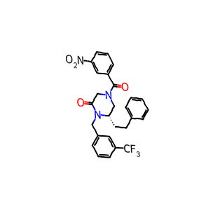 O=C(c1cccc([N+](=O)[O-])c1)N1CC(=O)N(Cc2cccc(C(F)(F)F)c2)[C@@H](CCc2ccccc2)C1